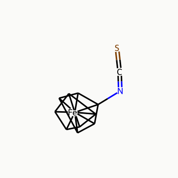 S=C=N[C]12[CH]3[CH]4[CH]5[CH]1[Fe]45321678[CH]2[CH]1[CH]6[CH]7[CH]28